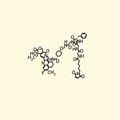 CC[C@@]1(O)C(=O)OCc2c1cc1n(c2=O)Cc2c-1nc1cc(F)c(C)c3c1c2[C@@H](NC(=O)[C@H]1CC[C@@H](OCNC(=O)CNC(=O)[C@H](Cc2ccccc2)NC(=O)CNC(=O)CNC(=O)CCCCCN2C(=O)C=CC2=O)CC1)CC3